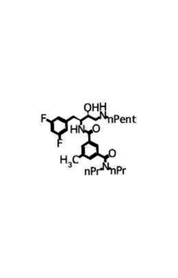 CCCCCNC[C@@H](O)[C@H](Cc1cc(F)cc(F)c1)NC(=O)c1cc(C)cc(C(=O)N(CCC)CCC)c1